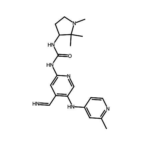 Cc1cc(Nc2cnc(NC(=O)NC3CCN(C)C3(C)C)cc2C=N)ccn1